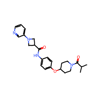 CC(C)C(=O)N1CCC(Oc2ccc(NC(=O)C3CN(c4cccnc4)C3)cc2)CC1